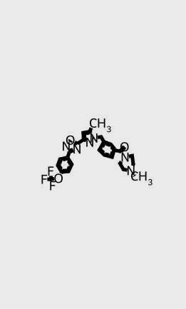 Cc1cc(-c2nc(-c3ccc(OC(F)(F)F)cc3)no2)nn1Cc1cccc(C(=O)N2CCN(C)CC2)c1